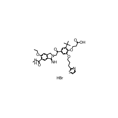 Br.CCOc1cc2c(cc1C(=O)NC)C(=N)N(CC(=O)c1cc(OCCCc3nccs3)c(OCCC(=O)O)c(C(C)(C)C)c1)C2